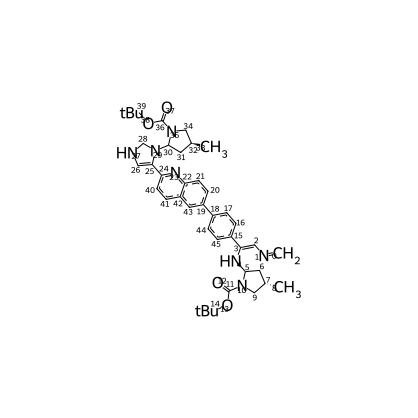 C=N/C=C(\NC1C[C@H](C)CN1C(=O)OC(C)(C)C)c1ccc(-c2ccc3nc(C4=CNCN4C4C[C@H](C)CN4C(=O)OC(C)(C)C)ccc3c2)cc1